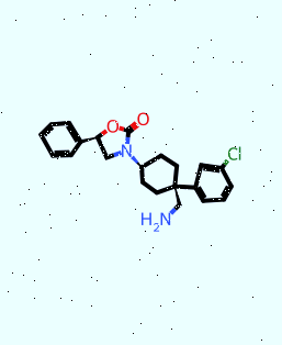 NC[C@]1(c2cccc(Cl)c2)CC[C@H](N2C[C@@H](c3ccccc3)OC2=O)CC1